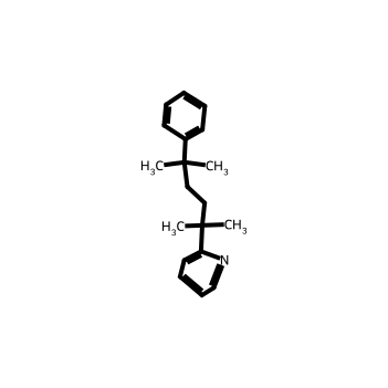 CC(C)(CCC(C)(C)c1ccccn1)c1ccccc1